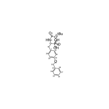 CC(C)(C)OC(=O)NC(Cc1ccc(OCc2ccccc2)cc1)P(=O)(O)O